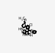 COCCN1CCC(Nc2ncc3c(n2)C(=C(c2cccc(Cl)c2)c2nc4ccccc4[nH]2)C(=O)N3)CC1